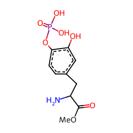 COC(=O)C(N)Cc1ccc(OP(=O)(O)O)c(O)c1